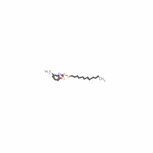 CCCCCCCCCCCCSSc1nc2c(C)cccc2o1